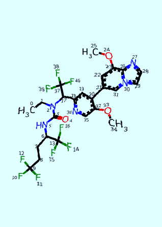 CCN(C(=O)NC(CCC(F)(F)F)C(F)(F)F)C(c1cc(-c2cc(OC)c3nccn3c2)c(OC)cn1)C(F)(F)F